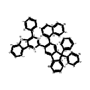 c1ccc(-c2nc(-c3cc4c(cc3-c3cccc5ccccc35)C(c3ccccc3)(c3ccccc3)c3ccccc3-4)nc3c2oc2ccccc23)cc1